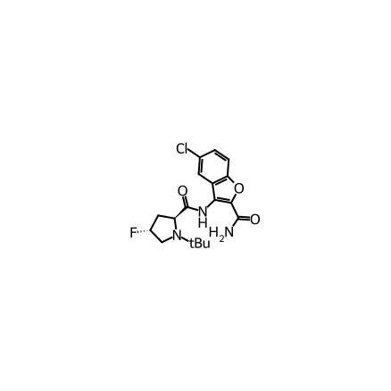 CC(C)(C)N1C[C@H](F)C[C@H]1C(=O)Nc1c(C(N)=O)oc2ccc(Cl)cc12